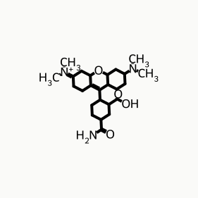 CN(C)C1CCC2C(C3CCC(C(N)=O)CC3C(=O)O)=C3CCC(=[N+](C)C)CC3OC2C1